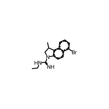 CCNC(=N)N1CC(C)c2c1ccc1c(Br)cccc21